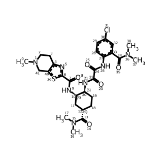 CN1CCc2nc(C(=O)N[C@@H]3C[C@@H](C(=O)N(C)C)CC[C@@H]3NC(=O)C(=O)Nc3ccc(Cl)cc3C(=O)N(C)C)sc2C1